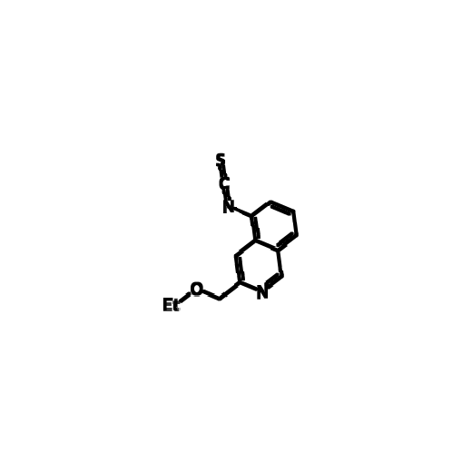 CCOCc1cc2c(N=C=S)cccc2cn1